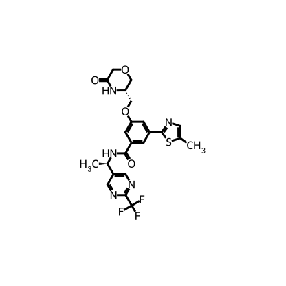 Cc1cnc(-c2cc(OC[C@H]3COCC(=O)N3)cc(C(=O)N[C@H](C)c3cnc(C(F)(F)F)nc3)c2)s1